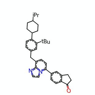 CC(C)C1CCC(c2ccc(Cc3ccc(-c4ccc5c(c4)CCC5=O)n4ccnc34)cc2C(C)(C)C)CC1